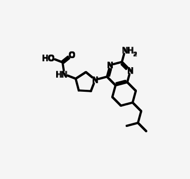 CC(C)CC1CCc2c(nc(N)nc2N2CCC(NC(=O)O)C2)C1